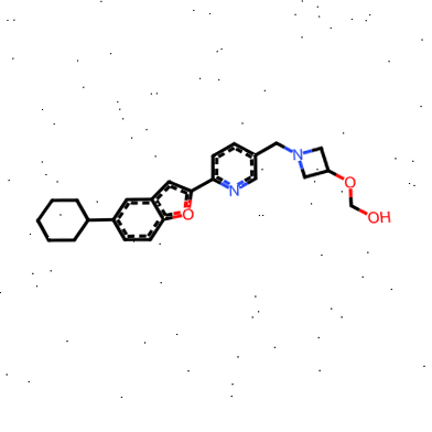 OCOC1CN(Cc2ccc(-c3cc4cc(C5CCCCC5)ccc4o3)nc2)C1